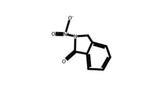 O=C1c2ccccc2CN1[N+](=O)[O-]